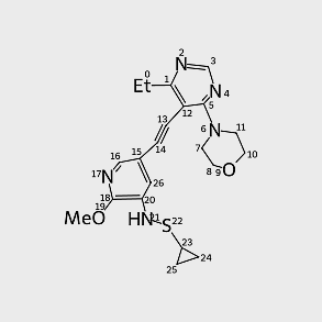 CCc1ncnc(N2CCOCC2)c1C#Cc1cnc(OC)c(NSC2CC2)c1